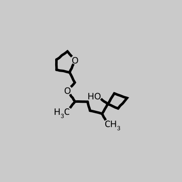 CC(CCC(C)C1(O)CCC1)OCC1CCCO1